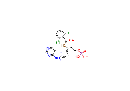 C/C(=C(CCOP(=O)(O)O)/[SH]=C(\O)c1c(Cl)cccc1Cl)N(C=O)Cc1cnc(C)nc1N